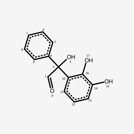 O=CC(O)(c1ccccc1)c1cccc(O)c1O